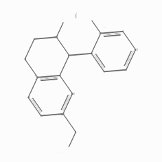 CC1CCc2ccc(CO)cc2C1c1ccccc1C(F)(F)F